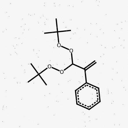 C=C(c1ccccc1)C(OOC(C)(C)C)OOC(C)(C)C